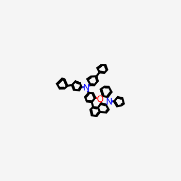 c1ccc(-c2ccc(N(c3ccc(-c4ccccc4)cc3)c3ccc4c(c3)Oc3c(N(c5ccccc5)c5ccccc5)ccc5cccc-4c35)cc2)cc1